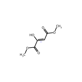 COC(=O)/C=C(\O)C(=O)OC